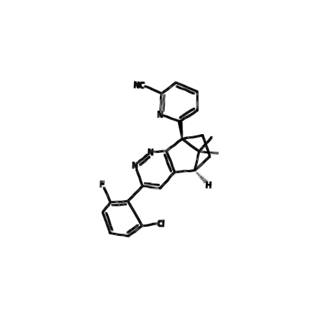 CC1(C)[C@H]2CC[C@@]1(c1cccc(C#N)n1)c1nnc(-c3c(F)cccc3Cl)cc12